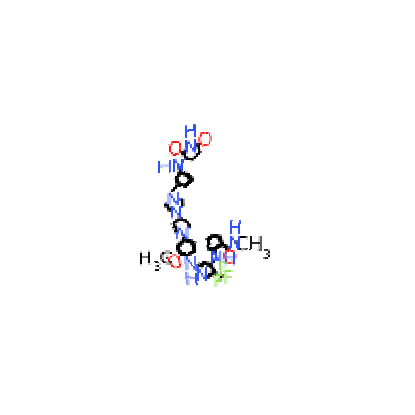 CNC(=O)c1ccccc1Nc1cc(Nc2ccc(N3CCC(N4CCN(Cc5cccc(NC6CCC(=O)NC6=O)c5)CC4)CC3)cc2OC)ncc1C(F)(F)F